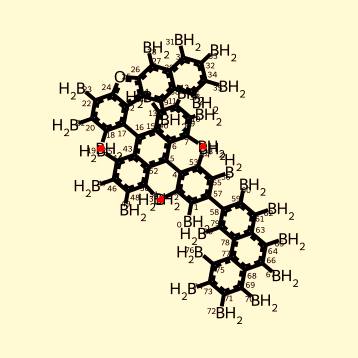 Bc1c(B)c(-c2c3c(B)c(B)c(B)c(B)c3c(-c3c(B)c(B)c(B)c4oc5c(B)c6c(B)c(B)c(B)c(B)c6c(B)c5c34)c3c(B)c(B)c(B)c(B)c23)c(B)c(B)c1-c1c(B)c(B)c2c(B)c(B)c3c(B)c(B)c(B)c(B)c3c2c1B